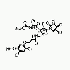 CCc1cn([C@@H]2O[C@H](CNC(=O)CCOc3cc(OC)c(Cl)cc3Cl)[C@@H](OC(=O)[C@@H](NC(=O)OC(C)(C)C)C(C)C)[C@H]2F)c(=O)[nH]c1=O